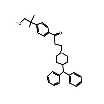 CC(C)(CO)c1ccc(C(=O)CCN2CCC(C(c3ccccc3)c3ccccc3)CC2)cc1